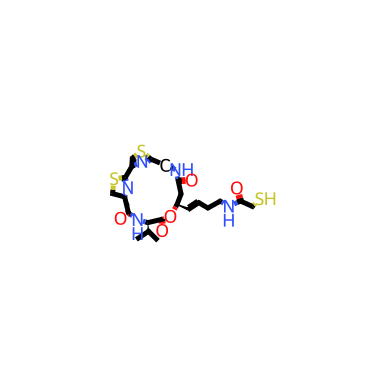 CC(C)[C@@H]1NC(=O)[C@]2(C)CSC(=N2)c2csc(n2)CNC(=O)C[C@@H](/C=C/CCNC(=O)CS)OC1=O